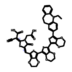 CCN1c2ccccc2CCc2cc(-c3sc(-c4sc(-c5sc(/C=c6/s/c(=C(\C#N)C(=O)O)n(CC(=O)O)c6=O)c6c5OCCO6)c5c4OCCO5)c4c3OCCO4)ccc21